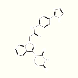 O=C1CCC(c2nn(CC(=O)Nc3ccc(-c4ncc[nH]4)cc3)c3ccccc23)C(=O)N1